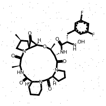 C[C@@H]1CN2C(=O)[C@H](C)NC(=O)[C@@H]3CCCCN3C(=O)[C@@H]3CCCN3C(=O)[C@@H](NC(=O)[C@H](Cc3cc(F)cc(F)c3)NO)[C@H](C)O[C@@H]3C(=O)[C@]32C1